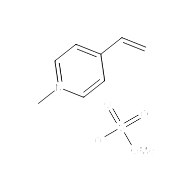 C=Cc1cc[n+](C)cc1.COS(=O)(=O)[O-]